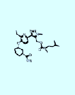 CCc1nc(-c2nnn(C)c2COC(=O)N(C)CCC(C)C)ccc1O[C@H]1CCC[C@H](C(=O)O)C1